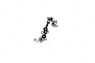 CC(C)(C)OC(=O)NCC1(C(=O)N2CC(C#Cc3ccc4c(=O)c(-c5ccc(NS(C)(=O)=O)cc5)coc4c3)C2)CC1